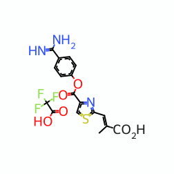 C/C(=C\c1nc(C(=O)Oc2ccc(C(=N)N)cc2)cs1)C(=O)O.O=C(O)C(F)(F)F